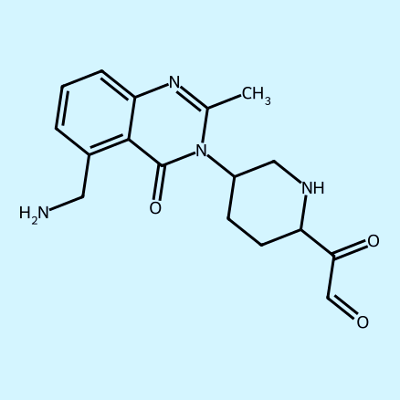 Cc1nc2cccc(CN)c2c(=O)n1C1CCC(C(=O)C=O)NC1